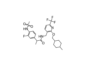 CC1CCC(COc2nc(C(F)(F)F)ccc2CNC(=O)C(C)c2ccc(NS(C)(=O)=O)c(F)c2)CC1